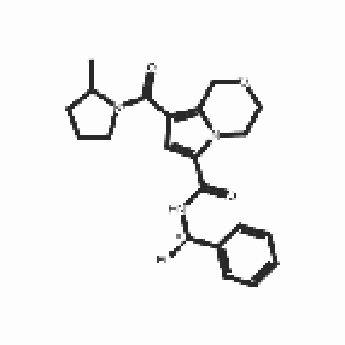 CC[C@@H](NC(=O)c1cc(C(=O)N2CCCC2C)c2n1CCOC2)c1ccccc1